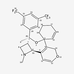 C[C@@H](OC1(C2=C([C@@H]3CCN3C)C=COC2)C=CCCC1)c1cc(C(F)(F)F)cc(C(F)(F)F)c1